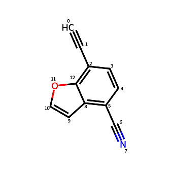 C#Cc1ccc(C#N)c2ccoc12